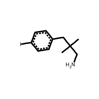 CC(C)(CN)Cc1ccc(I)cc1